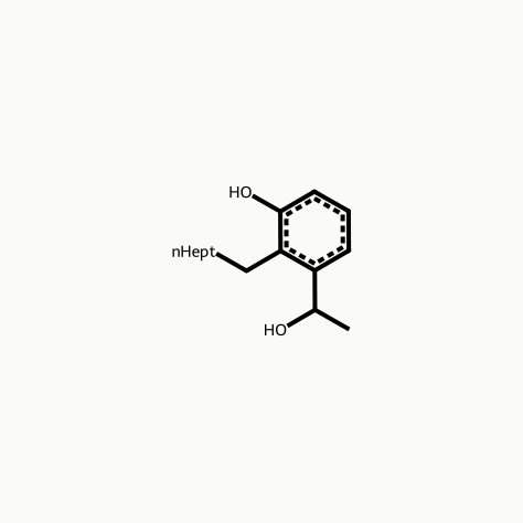 CCCCCCCCc1c(O)cccc1C(C)O